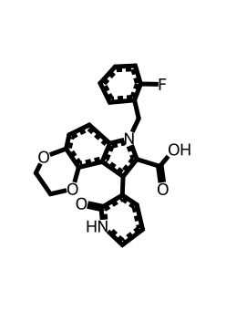 O=C(O)c1c(-c2ccc[nH]c2=O)c2c3c(ccc2n1Cc1ccccc1F)OCCO3